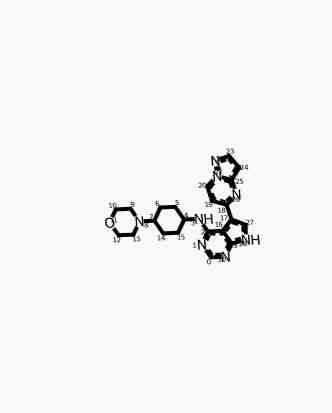 c1nc(NC2CCC(N3CCOCC3)CC2)c2c(-c3ccn4nccc4n3)c[nH]c2n1